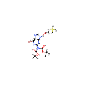 CC(C)(C)OC(=O)N(C(=O)OC(C)(C)C)c1nc(Br)c2ncn(COCCS(C)(C)C)c2n1